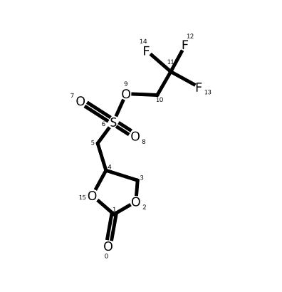 O=C1OCC(CS(=O)(=O)OCC(F)(F)F)O1